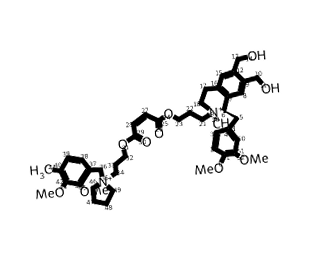 COc1ccc(C[C@@H]2c3cc(CO)c(CO)cc3CC[N@@+]2(C)CCCOC(=O)/C=C\C(=O)OCCC[N+]2(Cc3ccc(C)c(OC)c3OC)CCCC2)cc1OC